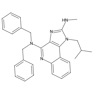 CNc1nc2c(N(Cc3ccccc3)Cc3ccccc3)nc3ccccc3c2n1CC(C)C